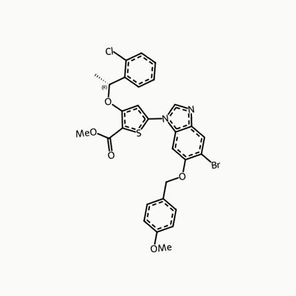 COC(=O)c1sc(-n2cnc3cc(Br)c(OCc4ccc(OC)cc4)cc32)cc1O[C@H](C)c1ccccc1Cl